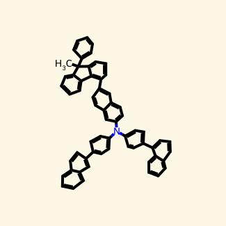 CC1(c2ccccc2)c2ccccc2-c2c(-c3ccc4cc(N(c5ccc(-c6ccc7ccccc7c6)cc5)c5ccc(-c6cccc7ccccc67)cc5)ccc4c3)cccc21